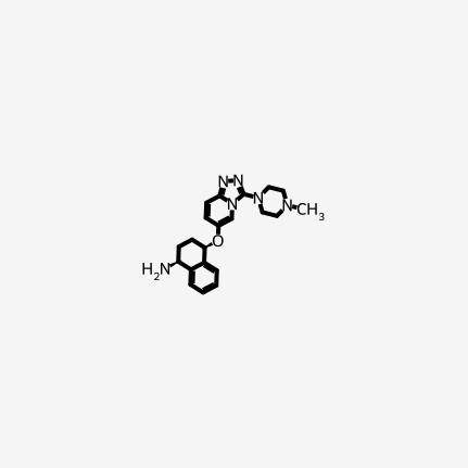 CN1CCN(c2nnc3ccc(O[C@@H]4CC[C@H](N)c5ccccc54)cn23)CC1